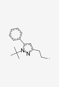 [CH2]CCc1cc(-c2ccccc2)n(C(C)(C)C)n1